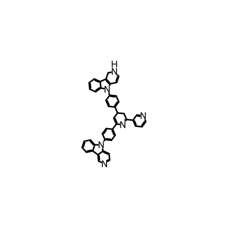 C1=Cc2c(c3ccccc3n2-c2ccc(C3C=C(c4ccc(-n5c6ccccc6c6cnccc65)cc4)N=C(c4cccnc4)C3)cc2)CN1